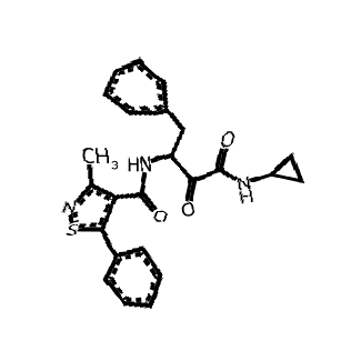 Cc1nsc(-c2ccccc2)c1C(=O)NC(Cc1ccccc1)C(=O)C(=O)NC1CC1